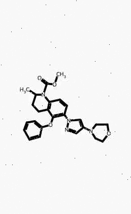 COC(=O)N1c2ccc(-n3cc(N4CCOCC4)cn3)c(Oc3ccccc3)c2CCC1C